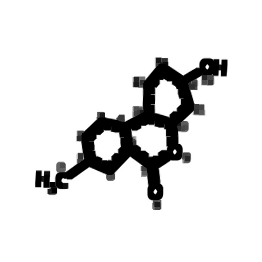 Cc1ccc2c(c1)c(=O)oc1cc(O)ccc12